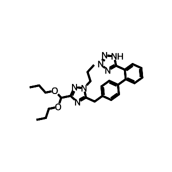 CCCOC(OCCC)c1nc(Cc2ccc(-c3ccccc3-c3nnn[nH]3)cc2)n(CCC)n1